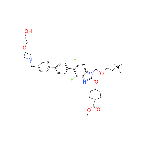 COC(=O)C1CCC(Oc2nc3c(F)c(-c4ccc(-c5ccc(CN6CC(OCCO)C6)cc5)cc4)c(F)cc3n2COCC[Si](C)(C)C)CC1